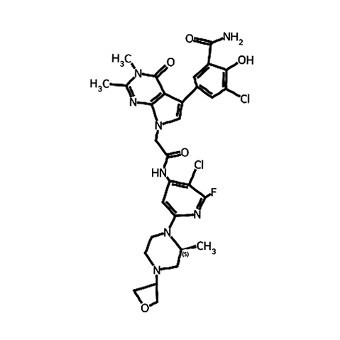 Cc1nc2c(c(-c3cc(Cl)c(O)c(C(N)=O)c3)cn2CC(=O)Nc2cc(N3CCN(C4COC4)C[C@@H]3C)nc(F)c2Cl)c(=O)n1C